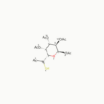 CC(=O)O[C@H]1O[C@H](C(S)C(C)=O)[C@H](OC(C)=O)[C@H](OC(C)=O)[C@H]1OC(C)=O